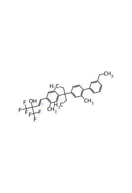 CCc1cccc(-c2ccc(C(CC)(CC)c3ccc(/C=C/C(O)(C(F)(F)F)C(F)(F)F)c(C)c3)cc2C)c1